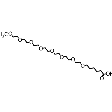 COCCOCCOCCOCCOCCOCCOCCOCCCCCC(=O)O